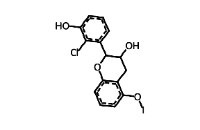 Oc1cccc(C2Oc3cccc(OI)c3CC2O)c1Cl